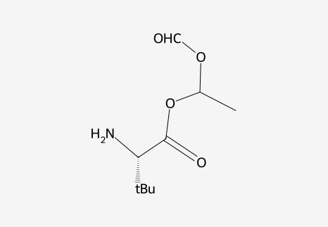 CC(OC=O)OC(=O)[C@@H](N)C(C)(C)C